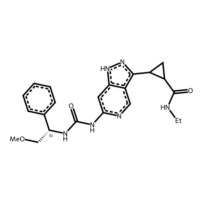 CCNC(=O)C1CC1c1n[nH]c2cc(NC(=O)N[C@H](COC)c3ccccc3)ncc12